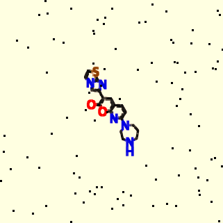 O=c1oc2nc(N3CCCNCC3)ccc2cc1-c1cn2ccsc2n1